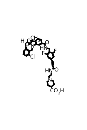 CC1(C)C(=O)N(Cc2c(F)cccc2Cl)c2cc(C(=O)NCc3c(F)cc(C#CC(=O)NCCN4CCC(C(=O)O)CC4)cc3F)ccc21